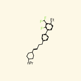 CCCC1CCC(/C=C/CCc2ccc(-c3ccc(CC)c(C(F)F)c3F)cc2)CC1